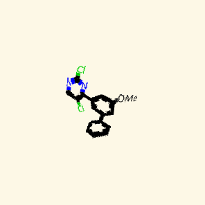 COc1cc(-c2ccccc2)cc(-c2nc(Cl)ncc2Cl)c1